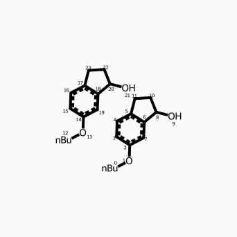 CCCCOc1ccc2c(c1)C(O)CC2.CCCCOc1ccc2c(c1)C(O)CC2